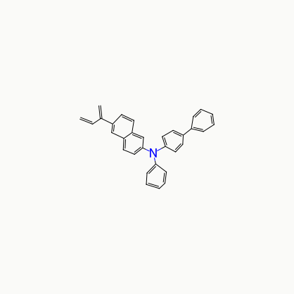 C=CC(=C)c1ccc2cc(N(c3ccccc3)c3ccc(-c4ccccc4)cc3)ccc2c1